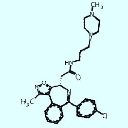 Cc1noc2c1-c1ccccc1C(c1ccc(Cl)cc1)=N[C@H]2CC(=O)NCCCN1CCN(C)CC1